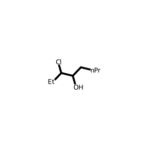 [CH2]CC(Cl)C(O)CCCC